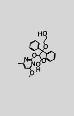 COc1cc(C)nc(O[C@H](C(=O)O)C(OCCO)(c2ccccc2)c2ccccc2)n1